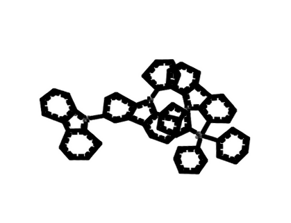 c1ccc(-n2c3ccc(-n4c5ccccc5c5ccccc54)cc3c3cccc(-n4c5ccccc5c5cccc([Si](c6ccccc6)(c6ccccc6)c6ccccc6)c54)c32)cc1